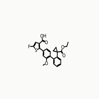 CCOC(=O)C1(c2ccccc2-c2ccc(-c3sc(F)cc3C(=O)O)cc2OC)CC1